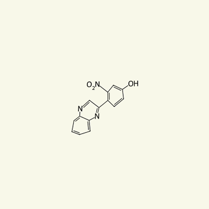 O=[N+]([O-])c1cc(O)ccc1-c1cnc2ccccc2n1